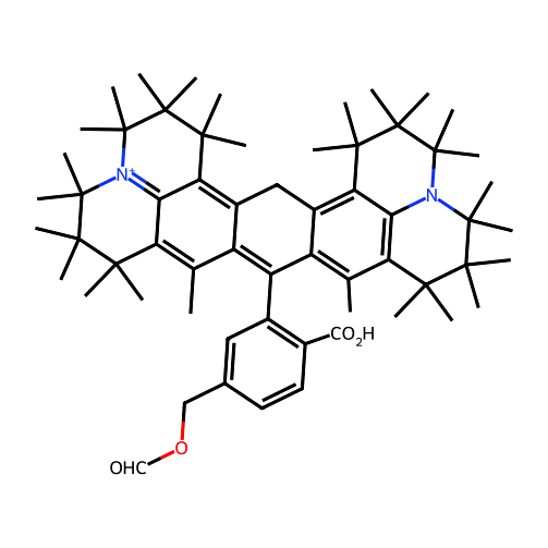 Cc1c2c(c3c4c1C(C)(C)C(C)(C)C(C)(C)N4C(C)(C)C(C)(C)C3(C)C)Cc1c3c4c(c(C)c1=C2c1cc(COC=O)ccc1C(=O)O)C(C)(C)C(C)(C)C(C)(C)[N+]=4C(C)(C)C(C)(C)C3(C)C